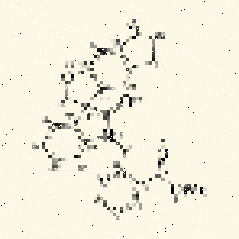 COC(=O)c1ccccc1CN1C(=O)C2(COc3cc4c(cc32)CCO4)c2ccccc21